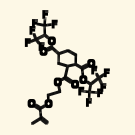 C=C(C)C(=O)OCCOC(=O)C1CC(C(=O)OC(C(F)(F)F)C(F)(F)F)CCC1C(=O)OC(C(F)(F)F)C(F)(F)F